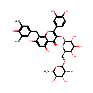 COc1cc(Cc2c(O)cc(O)c3c(=O)c(O[C@@H]4O[C@H](CO[C@@H]5O[C@@H](C)[C@H](O)[C@@H](O)[C@H]5O)[C@@H](O)[C@H](O)[C@H]4O)c(-c4ccc(O)c(O)c4)oc23)cc(OC)c1O